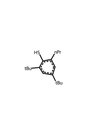 CCCc1cc(C(C)(C)C)cc(C(C)(C)C)c1S